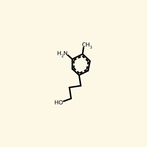 Cc1ccc(CCCO)cc1N